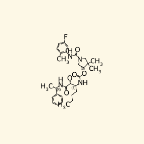 CCCC[C@H](NC(=O)O[C@@H]1CN(C(=O)Nc2cc(F)ccc2C)CC1(C)C)C(=O)C(=O)N[C@H](C)c1ccccc1